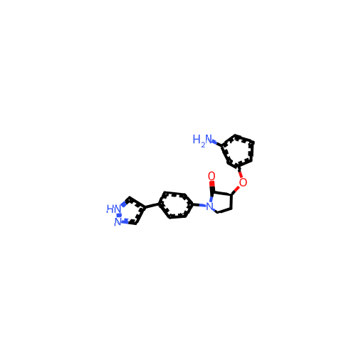 Nc1cccc(OC2CCN(c3ccc(-c4cn[nH]c4)cc3)C2=O)c1